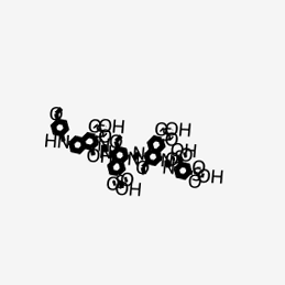 COc1ccc(Nc2ccc3c(O)c(N=Nc4c(OC)cc(N=Nc5c(OC)cc(N=Nc6ccc(S(=O)(=O)O)cc6S(=O)(=O)O)c6cc(S(=O)(=O)O)ccc56)c5cc(S(=O)(=O)O)ccc45)c(S(=O)(=O)O)cc3c2)cc1